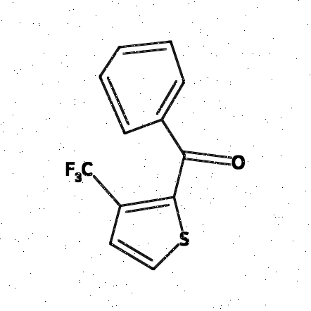 O=C(c1ccccc1)c1sccc1C(F)(F)F